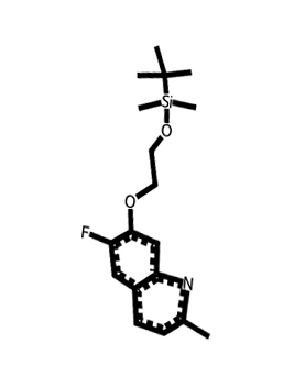 Cc1ccc2cc(F)c(OCCO[Si](C)(C)C(C)(C)C)cc2n1